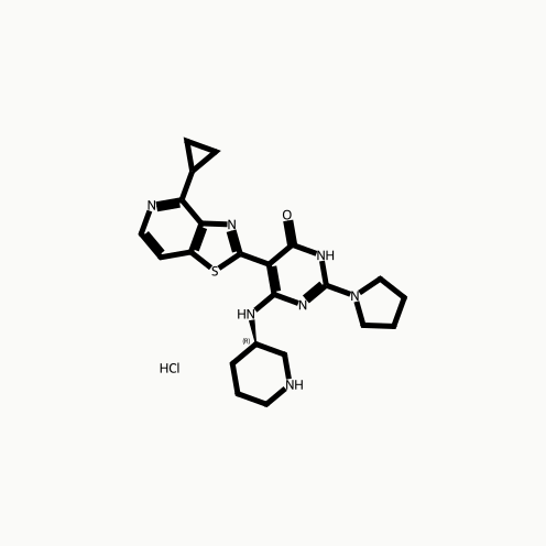 Cl.O=c1[nH]c(N2CCCC2)nc(N[C@@H]2CCCNC2)c1-c1nc2c(C3CC3)nccc2s1